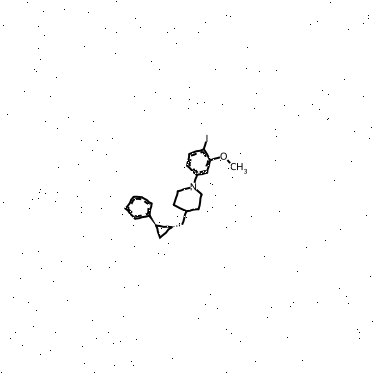 COc1cc(N2CCC(C[C@@H]3C[C@H]3c3ccccc3)CC2)ccc1I